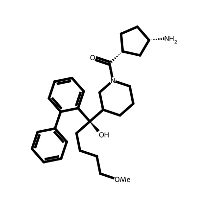 COCCCC[C@](O)(c1ccccc1-c1ccccc1)C1CCCN(C(=O)[C@@H]2CC[C@H](N)C2)C1